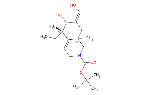 CC[C@@]1(C)C2=CCN(C(=O)OC(C)(C)C)C[C@]2(C)C/C(=C/O)C1O